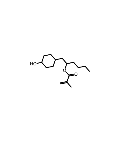 C=C(C)C(=O)OC(CCCC)CC1CCC(O)CC1